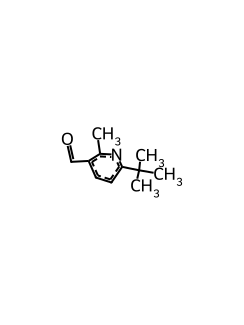 Cc1nc(C(C)(C)C)ccc1C=O